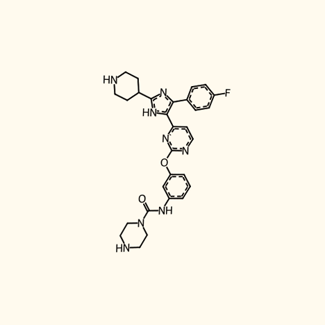 O=C(Nc1cccc(Oc2nccc(-c3[nH]c(C4CCNCC4)nc3-c3ccc(F)cc3)n2)c1)N1CCNCC1